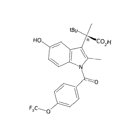 Cc1c([C@](C)(C(=O)O)C(C)(C)C)c2cc(O)ccc2n1C(=O)c1ccc(OC(F)(F)F)cc1